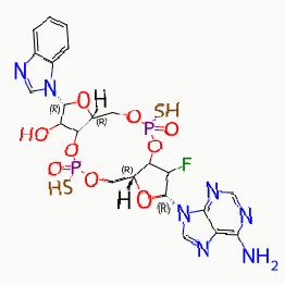 Nc1ncnc2c1ncn2[C@@H]1O[C@@H]2COP(=O)(S)OC3C(O)[C@H](n4cnc5ccccc54)O[C@@H]3COP(=O)(S)OC2C1F